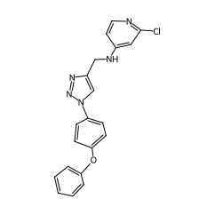 Clc1cc(NCc2cn(-c3ccc(Oc4ccccc4)cc3)nn2)ccn1